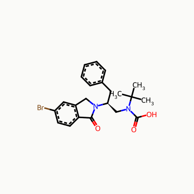 CC(C)(C)N(C[C@H](Cc1ccccc1)N1Cc2cc(Br)ccc2C1=O)C(=O)O